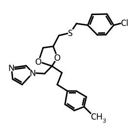 Cc1ccc(CCC2(Cn3ccnc3)OCC(CSCc3ccc(Cl)cc3)O2)cc1